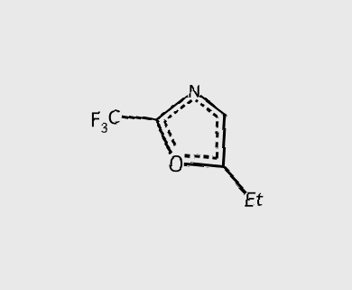 CCc1cnc(C(F)(F)F)o1